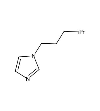 CC(C)CCCn1ccnc1